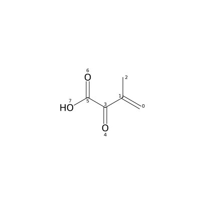 C=C(C)C(=O)C(=O)O